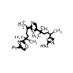 CC(C)c1coc(C(C)(C)CCC(C)c2ncc(C(C)(C)CCC(C)c3cnc(C(C)(C)C)s3)s2)n1